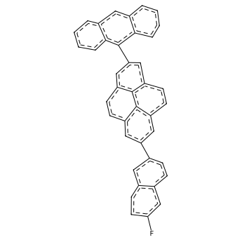 Fc1ccc2cc(-c3cc4ccc5cc(-c6c7ccccc7cc7ccccc67)cc6ccc(c3)c4c56)ccc2c1